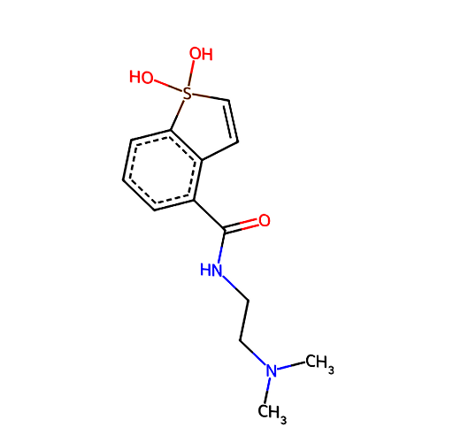 CN(C)CCNC(=O)c1cccc2c1C=CS2(O)O